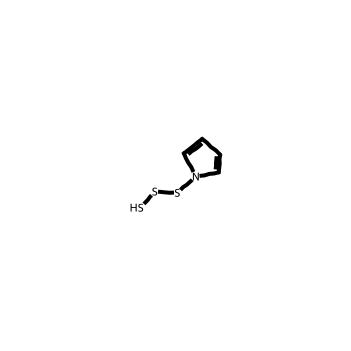 SSSn1cccc1